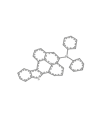 c1ccc(N(c2ccccc2)c2cc3cccc4c5c6ccccc6sc5c5cccc2c5c34)cc1